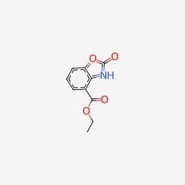 CCOC(=O)c1cccc2oc(=O)[nH]c12